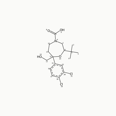 CC(C)(C)C1CN(C(=O)O)CCC(CO)(c2ccc(Cl)c(Cl)c2)O1